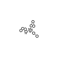 c1ccc(-c2ccc(-c3nc(-c4ccc5c6c(cccc46)-c4ccccc4-5)nc(-c4cncc5c4ccc4ccc6ccccc6c45)n3)cc2)cc1